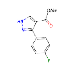 COC(=O)c1c[nH]nc1-c1ccc(F)cc1